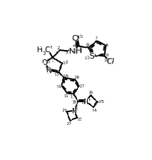 CC1(CNC(=O)c2ccc(Cl)s2)CC(c2ccc(C(N3CCC3)=[N+]3CCC3)cc2)=NO1